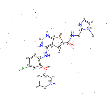 Cc1c(C(=O)NCc2nccn2C)sc2ncnc(Nc3ccc(F)cc3O[C@H]3CCCNC3)c12